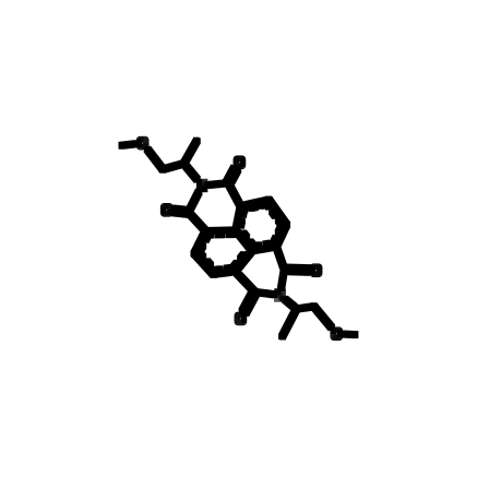 COCC(C)N1C(=O)c2ccc3c4c(ccc(c24)C1=O)C(=O)N(C(C)COC)C3=O